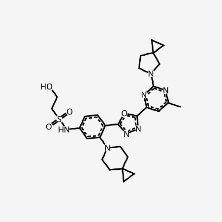 Cc1cc(-c2nnc(-c3ccc(NS(=O)(=O)CCO)cc3N3CCC4(CC3)CC4)o2)nc(N2CCC3(CC3)C2)n1